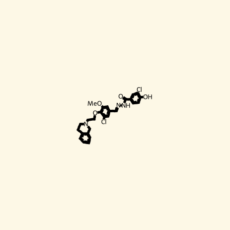 COc1cc(/C=N/NC(=O)c2ccc(O)c(Cl)c2)cc(Cl)c1OCCN1CCc2ccccc2C1